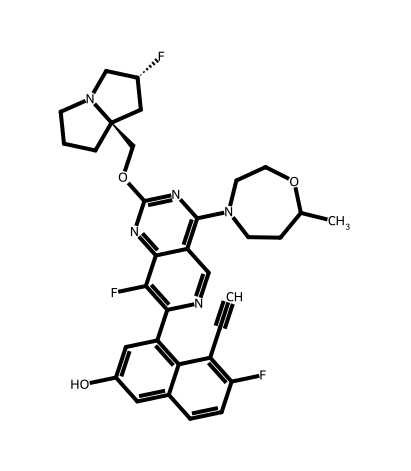 C#Cc1c(F)ccc2cc(O)cc(-c3ncc4c(N5CCOC(C)CC5)nc(OC[C@@]56CCCN5C[C@H](F)C6)nc4c3F)c12